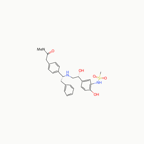 CNC(=O)Cc1ccc([C@@H](Cc2ccccc2)NC[C@H](O)c2ccc(O)c(NS(C)(=O)=O)c2)cc1